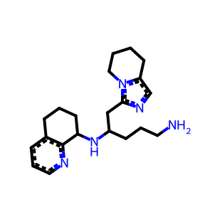 NCCCC(Cc1ncc2n1CCCC2)NC1CCCc2cccnc21